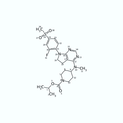 CC(C)OC(=O)N1CCC(N(C)c2ncnc3c2CCN3c2ccc(S(C)(=O)=O)cc2F)CC1